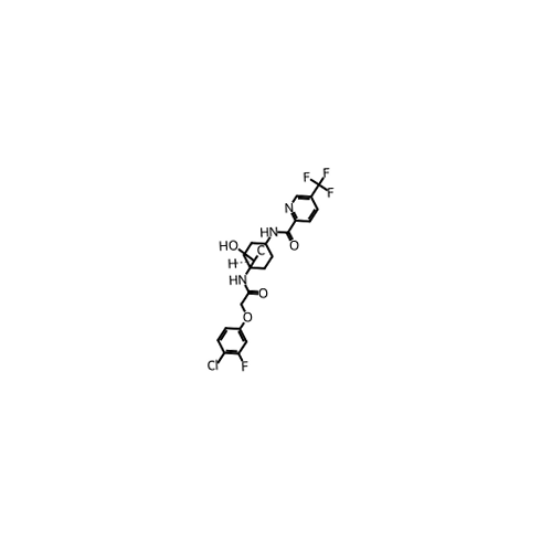 O=C(COc1ccc(Cl)c(F)c1)NC12CCC(NC(=O)c3ccc(C(F)(F)F)cn3)(CC1)C[C@@H]2O